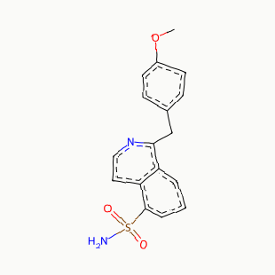 COc1ccc(Cc2nccc3c(S(N)(=O)=O)cccc23)cc1